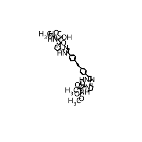 COC(=O)N[C@H](C(=O)N1CCC[C@H]1c1ncc(-c2ccc(C#Cc3ccc(-c4cnc([C@@H]5CCCN5C(=O)[C@@H](NC(=O)OC)[C@@H](C)O)[nH]4)cc3)cc2)[nH]1)[C@@H](C)O